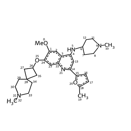 COc1cc2c(NC3CCN(C)CC3)cc(-c3ccc(C)o3)nc2cc1OC1CC2(CCN(C)CC2)C1